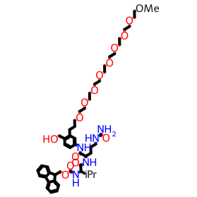 COCCOCCOCCOCCOCCOCCOCCOCCOCCCc1cc(NC(=O)C(CCCNC(N)=O)NC(=O)C(NC(=O)OCC2c3ccccc3-c3ccccc32)C(C)C)ccc1CO